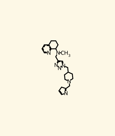 CN(Cc1cn(CC2CCN(CC3=NC=CC3)CC2)nn1)C1CCCc2cccnc21